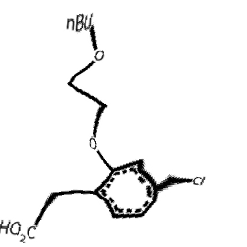 CCCCOCCOc1cc(Cl)ccc1CC(=O)O